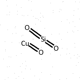 O=[Si]=O.[O]=[Cu]